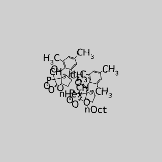 CCCCCCCCOC(=O)C(C)(P=O)C1(C(=O)c2c(C)cc(C)cc2C)CCCC1.CCCCCCOC(=O)C(C)(P=O)C1(C(=O)c2c(C)cc(C)cc2C)CCCC1